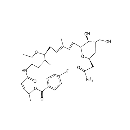 CC(/C=C/C1O[C@H](CC(N)=O)CC(CO)[C@@H]1O)=C\C[C@@H]1OC(C)C(NC(=O)/C=C\C(C)OC(=O)c2ccc(F)cc2)CC1C